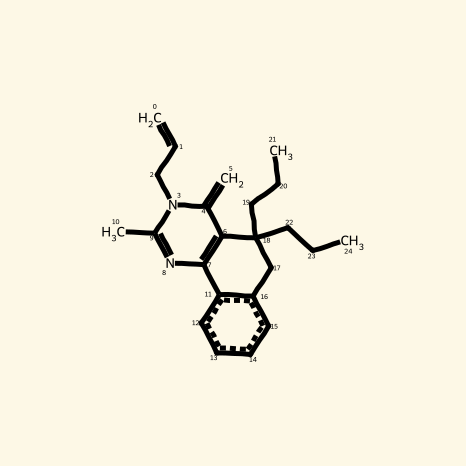 C=CCN1C(=C)C2=C(N=C1C)c1ccccc1CC2(CCC)CCC